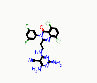 N#Cc1c(N)nc(N)nc1NCCc1nc2c(Cl)ccc(Cl)c2c(=O)n1-c1cc(F)cc(F)c1